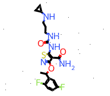 CC(Oc1nsc(NC(=O)NCCCNC2CC2)c1C(N)=O)c1cc(F)ccc1F